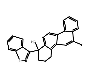 OC1(c2boc3ccccc23)CCCc2c1ccc1c2cc(F)c2ccccc21